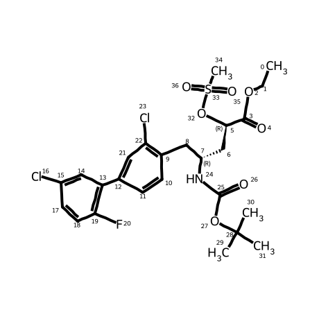 CCOC(=O)[C@@H](C[C@@H](Cc1ccc(-c2cc(Cl)ccc2F)cc1Cl)NC(=O)OC(C)(C)C)OS(C)(=O)=O